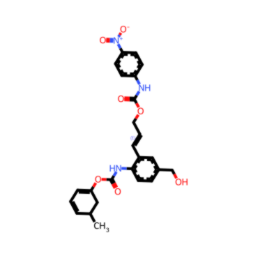 CC1C=CC=C(OC(=O)Nc2ccc(CO)cc2/C=C/COC(=O)Nc2ccc([N+](=O)[O-])cc2)C1